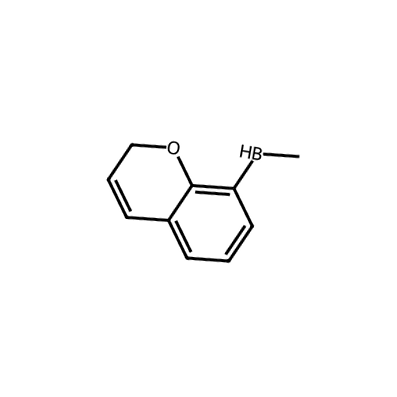 CBc1cccc2c1OCC=C2